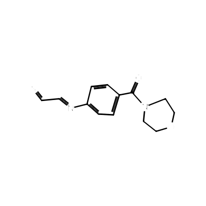 O=C(c1ccc(N=CC=S)cc1)N1CCOCC1